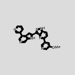 COc1cncc(-c2ccc3[nH]nc(-c4cc5c(-c6cccnc6)cncc5[nH]4)c3n2)c1